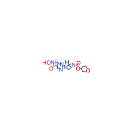 O=C(NO)c1cnc(N2CC3[C@H]2CN3C(=O)OC2CCOCC2)nc1